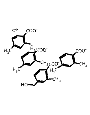 Cc1cc(CO)ccc1C(=O)[O-].Cc1ccc(C(=O)[O-])c(C)c1.Cc1ccc(C(=O)[O-])c(C)c1.Cc1ccc(C(=O)[O-])c(C)c1.[C+4]